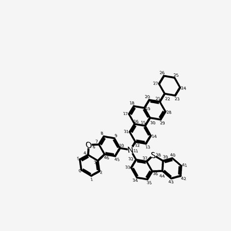 c1ccc2c(c1)oc1ccc(N(c3ccc4c(ccc5cc(C6CCCCC6)ccc54)c3)c3cccc4c3sc3ccccc34)cc12